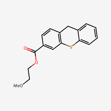 COCCOC(=O)c1ccc2c(c1)Sc1ccccc1C2